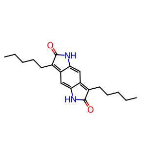 CCCCCC1=c2cc3c(cc2NC1=O)=C(CCCCC)C(=O)N3